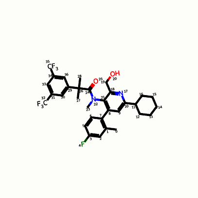 Cc1cc(F)ccc1-c1cc(C2CC[CH]CC2)nc(CO)c1N(C)C(=O)C(C)(C)c1cc(C(F)(F)F)cc(C(F)(F)F)c1